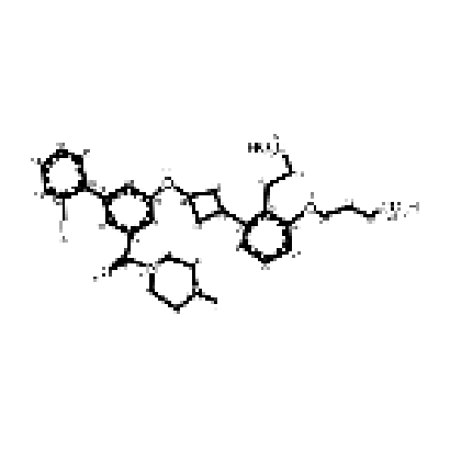 CN1CCN(C(=O)c2cc(OC3CC(c4cccc(OCCCC(=O)O)c4CCC(=O)O)C3)cc(-c3ccccc3F)c2)CC1